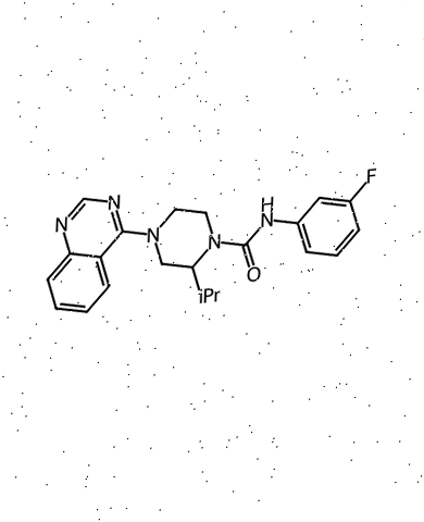 CC(C)C1CN(c2ncnc3ccccc23)CCN1C(=O)Nc1cccc(F)c1